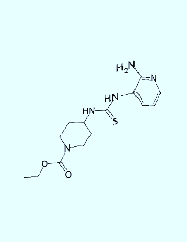 CCOC(=O)N1CCC(NC(=S)Nc2cccnc2N)CC1